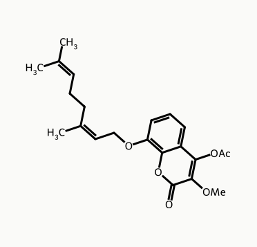 COc1c(OC(C)=O)c2cccc(OCC=C(C)CCC=C(C)C)c2oc1=O